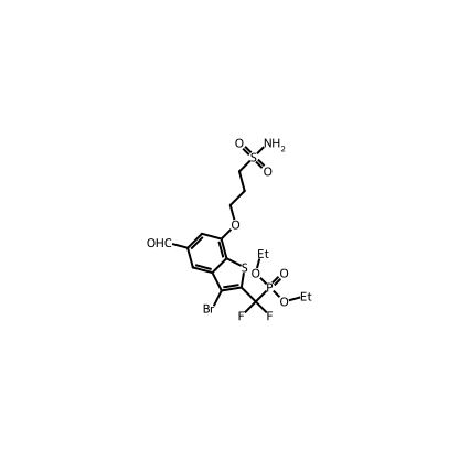 CCOP(=O)(OCC)C(F)(F)c1sc2c(OCCCS(N)(=O)=O)cc(C=O)cc2c1Br